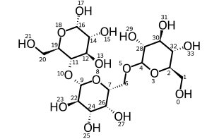 OC[C@H]1OC(OC[C@H]2O[C@@H](O[C@H]3[C@H](O)[C@@H](O)[C@@H](O)O[C@@H]3CO)[C@H](O)[C@@H](O)[C@H]2O)[C@H](O)[C@@H](O)[C@@H]1O